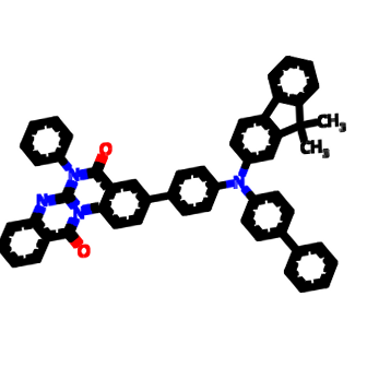 CC1(C)c2ccccc2-c2ccc(N(c3ccc(-c4ccccc4)cc3)c3ccc(-c4ccc5c(c4)c(=O)n(-c4ccccc4)c4nc6ccccc6c(=O)n54)cc3)cc21